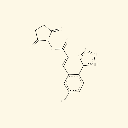 O=C(/C=C/c1cc(Cl)ccc1-c1nnn[nH]1)ON1C(=O)CCC1=O